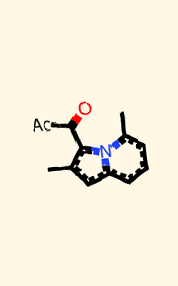 CC(=O)C(=O)c1c(C)cc2cccc(C)n12